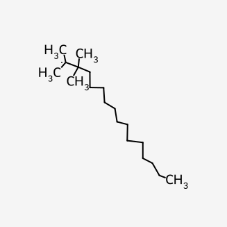 CCCCCCCCCCCCCC(C)(C)[C](C)C